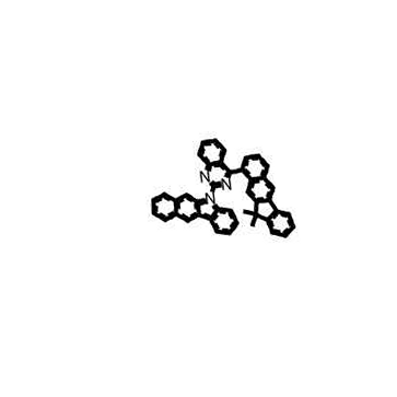 CC1(C)c2ccccc2-c2cc3cccc(-c4nc(-n5c6ccccc6c6cc7ccccc7cc65)nc5ccccc45)c3cc21